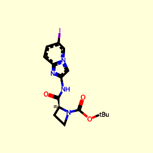 CC(C)(C)OC(=O)N1CC[C@H]1C(=O)Nc1cn2cc(I)ccc2n1